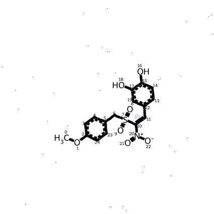 COc1ccc(CS(=O)(=O)/C(=C\c2ccc(O)c(O)c2)[N+](=O)[O-])cc1